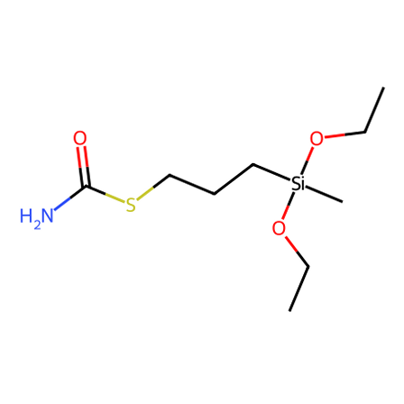 CCO[Si](C)(CCCSC(N)=O)OCC